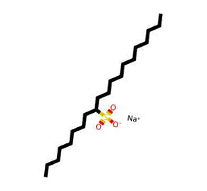 CCCCCCCCCCCC(CCCCCCCC)S(=O)(=O)[O-].[Na+]